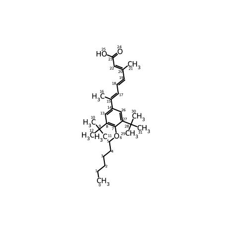 CCCCCCOc1c(C(C)(C)C)cc(/C(C)=C/C=CC(C)=CC(=O)O)cc1C(C)(C)C